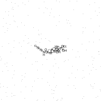 CCO[C@@H]([C@H]1C[C@@H](C)[C@H]2[C@H](O1)[C@H](O)[C@@]1(C)[C@@H]3CC[C@H]4C(C)(C)[C@@H](OC(=O)NC5CN(C6CN(C7CCC7)C6)C5)CC[C@@]45C[C@@]35CC[C@]21C)C(C)(C)O